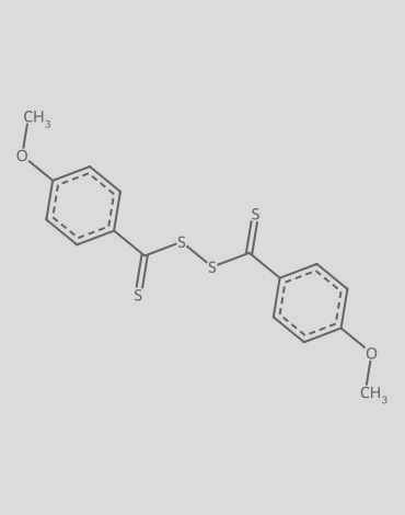 COc1ccc(C(=S)SSC(=S)c2ccc(OC)cc2)cc1